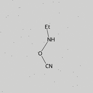 CCNOC#N